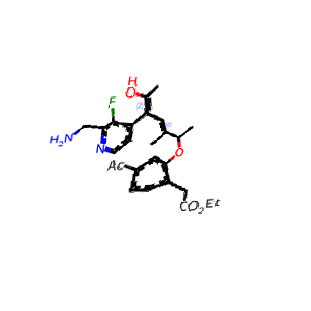 CCOC(=O)Cc1ccc(C(C)=O)cc1OC(C)/C(C)=C/C(=C(\C)O)c1ccnc(CN)c1F